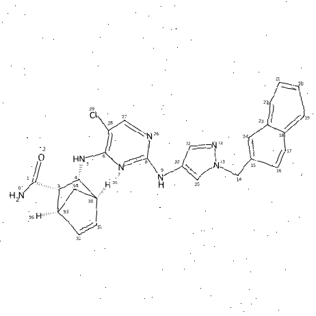 NC(=O)[C@@H]1[C@H](Nc2nc(Nc3cnn(Cc4ccc5ccccc5c4)c3)ncc2Cl)[C@H]2C=C[C@@H]1C2